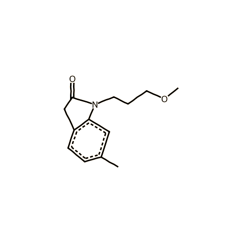 COCCCN1C(=O)Cc2ccc(C)cc21